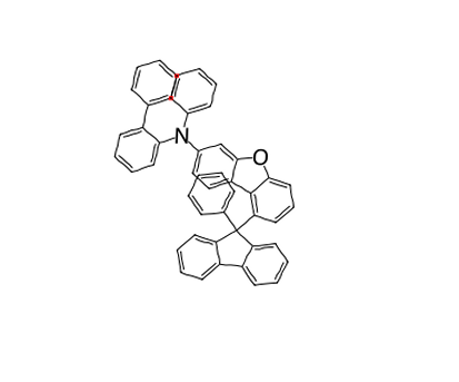 c1ccc(-c2ccccc2N(c2ccccc2)c2ccc3c(c2)oc2cccc(C4(c5ccccc5)c5ccccc5-c5ccccc54)c23)cc1